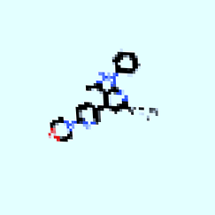 CCOC(=O)c1cc(-c2ccc(N3CCOCC3)nc2)c2c(C)nn(-c3ccccc3)c2n1